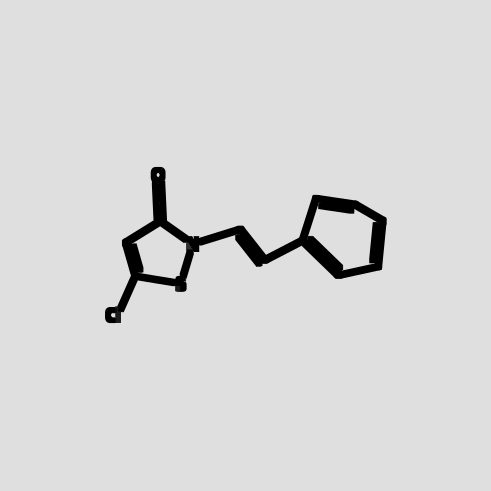 O=c1cc(Cl)sn1C=Cc1ccccc1